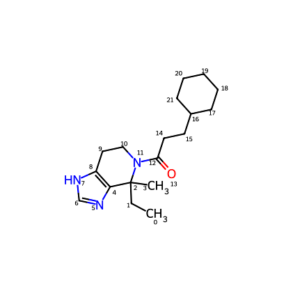 CCC1(C)c2nc[nH]c2CCN1C(=O)CCC1CCCCC1